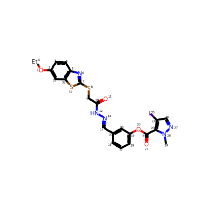 CCOc1ccc2nc(SCC(=O)N/N=C/c3cccc(OC(=O)c4c(I)cnn4C)c3)sc2c1